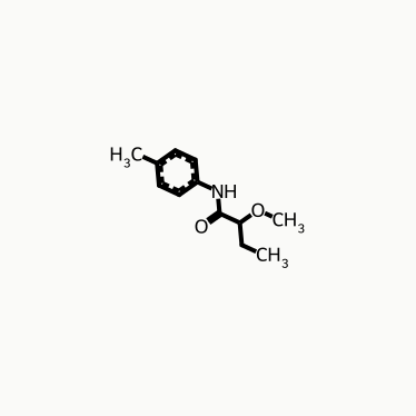 CCC(OC)C(=O)Nc1ccc(C)cc1